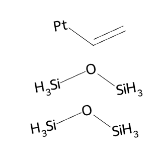 C=[CH][Pt].[SiH3]O[SiH3].[SiH3]O[SiH3]